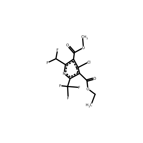 CCOC(=O)c1c(C(F)(F)F)nc(C(F)F)c(C(=O)OC)c1Cl